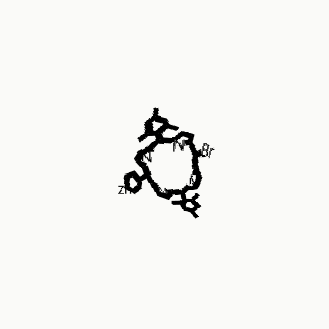 Cc1cc(C)c(C2=C3C=CC(=N3)C(Br)=C3C=CC(=N3)C(c3c(C)cc(C)cc3C)=C3C=CC(=N3)C(c3ccccc3)=C3C=CC2=N3)c(C)c1.[Zn]